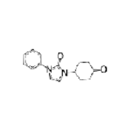 O=C1CCC(n2ccn(-c3ccccc3)c2=O)CC1